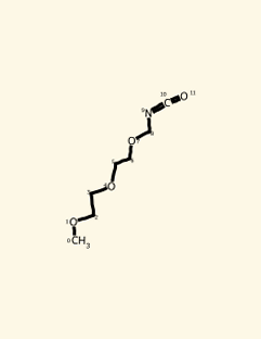 COCCOCCOCN=C=O